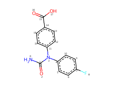 NC(=O)N(c1ccc(F)cc1)c1ccc(C(=O)O)cc1